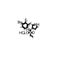 CCS(=O)(=O)N[C@H]1CCN[C@H]1Cc1cccc(Br)c1F.Cl